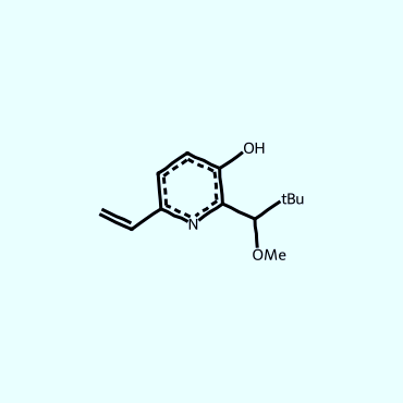 C=Cc1ccc(O)c(C(OC)C(C)(C)C)n1